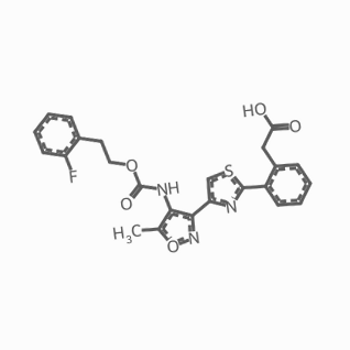 Cc1onc(-c2csc(-c3ccccc3CC(=O)O)n2)c1NC(=O)OCCc1ccccc1F